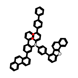 c1ccc(-c2ccc(-c3ccc(N(c4ccc(-c5cccc6oc7c8ccccc8ccc7c56)cc4)c4cc(-c5cccc6c5ccc5ccccc56)ccc4-c4ccccc4)cc3)cc2)cc1